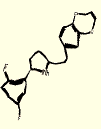 Fc1ccc(F)c([C@H]2CCC(Cc3ccc4c(c3)OCCO4)N2)c1